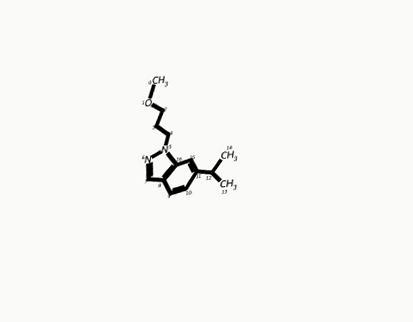 COCCCn1ncc2ccc(C(C)C)cc21